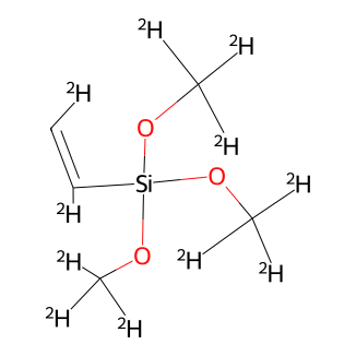 [2H]C=C([2H])[Si](OC([2H])([2H])[2H])(OC([2H])([2H])[2H])OC([2H])([2H])[2H]